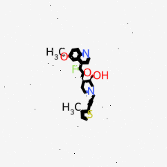 COc1ccc2nccc(C(F)CC[C@@H]3CCN(CC#Cc4sccc4C)C[C@@H]3C(=O)O)c2c1